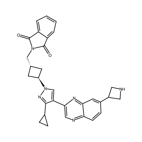 O=C1c2ccccc2C(=O)N1C[C@H]1C[C@H](n2cc(-c3cnc4ccc(C5CNC5)cc4n3)c(C3CC3)n2)C1